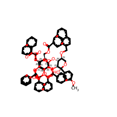 COc1ccc([C@]2(O)OC[C@H](OCc3ccc4ccccc4c3)[C@@H](O[C@@H]3O[C@H](COC(=O)c4ccccc4)[C@@H](OC(=O)c4ccccc4)[C@H](OC(=O)c4ccccc4)[C@H]3OC(=O)c3ccccc3)[C@@H]2O[C@@H]2O[C@H](COC(=O)c3ccccc3)[C@@H](OC(=O)c3ccccc3)[C@H](OC(=O)c3ccccc3)[C@H]2OC(=O)c2ccccc2)cc1